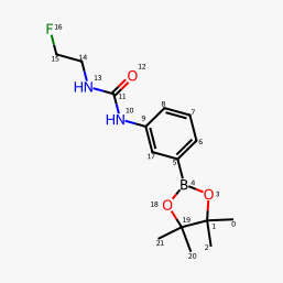 CC1(C)OB(c2cccc(NC(=O)NCCF)c2)OC1(C)C